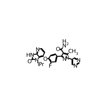 Cc1c(C(N)=O)c(-c2ccc(Oc3ccnc4[nH]c(=O)n(C(C)C)c34)c(F)c2)nn1-c1cncnc1